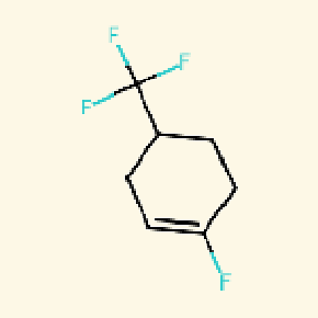 FC1=CCC(C(F)(F)F)CC1